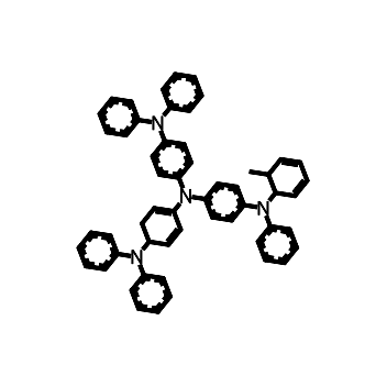 CC1C=CC=CC1N(c1ccccc1)c1ccc(N(C2=CCC(N(c3ccccc3)c3ccccc3)C=C2)c2ccc(N(c3ccccc3)c3ccccc3)cc2)cc1